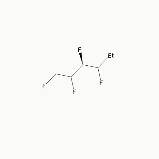 [CH2]CC(F)[C@H](F)C(F)CF